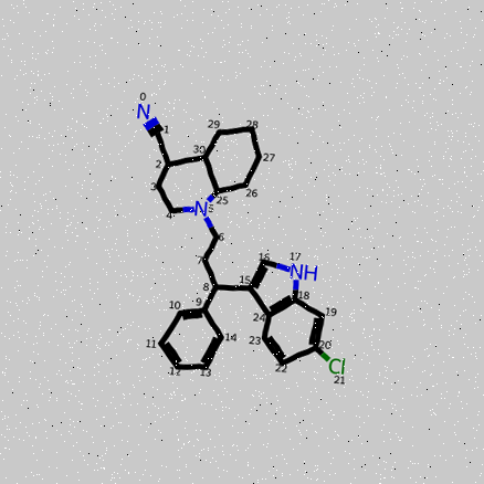 N#CC1CCN(CCC(c2ccccc2)c2c[nH]c3cc(Cl)ccc23)C2CCCCC12